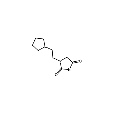 O=C1CN(CCN2CCCC2)C(=O)[N]1